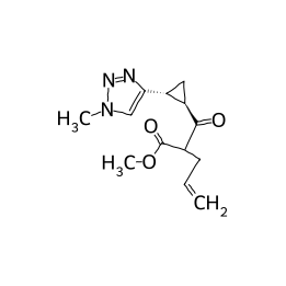 C=CCC(C(=O)OC)C(=O)[C@@H]1C[C@H]1c1cn(C)nn1